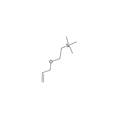 C=CCOCC[Si](C)(C)C